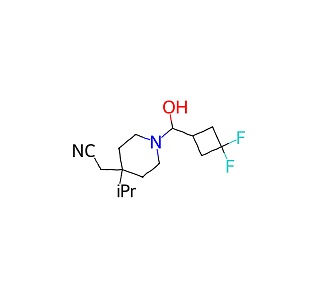 CC(C)C1(CC#N)CCN(C(O)C2CC(F)(F)C2)CC1